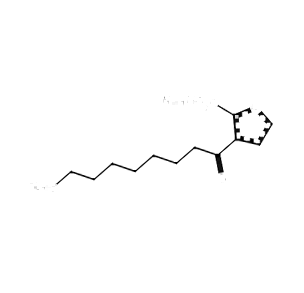 CCCCCCCCCCCCCCCCCC(=O)c1ccoc1C(=O)O.[NaH]